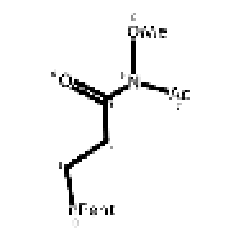 CCCCCCCC(=O)N(OC)C(C)=O